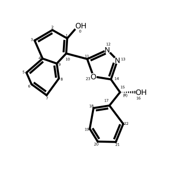 Oc1ccc2ccccc2c1-c1nnc([C@H](O)c2ccccc2)o1